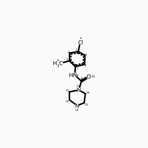 Cc1cc(Cl)ccc1NC(=O)N1CC[N]CC1